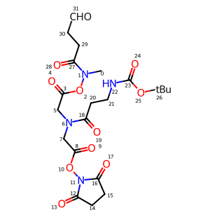 CN(OC(=O)CN(CC(=O)ON1C(=O)CCC1=O)C(=O)CCNC(=O)OC(C)(C)C)C(=O)CCC=O